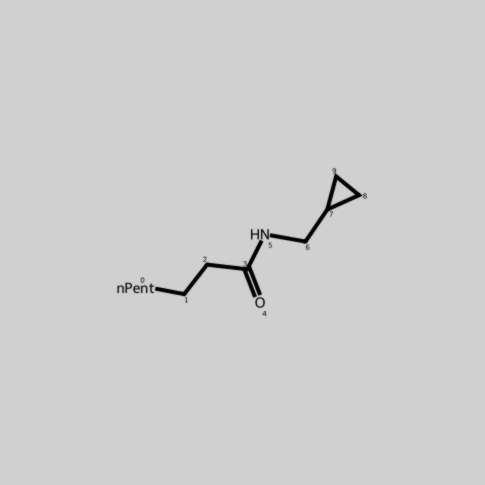 [CH2]CCCCCCC(=O)NCC1CC1